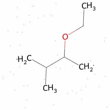 [CH2]C(C)C([CH2])OCC